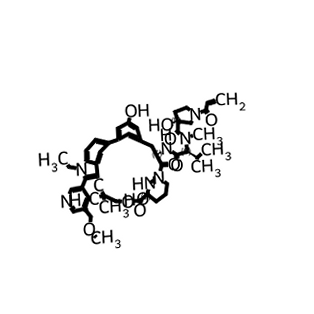 C=CC(=O)N1CC[C@](O)(C(=O)N(C)[C@H](C(=O)N[C@H]2Cc3cc(O)cc(c3)-c3ccc4c(c3)c(c(-c3cncc(COC)c3)n4CC)CC(C)(C)COC(=O)[C@@]3(O)CCCN(N3)C2=O)C(C)C)C1